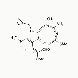 CO/C(C=O)=C/C(=C\N(C)C)c1ccc(SC)nn(C)c(C)cc1OCC1CC1